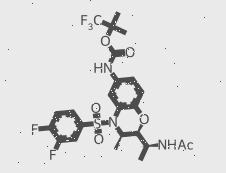 CC(=O)N[C@@H](C)[C@@H]1Oc2ccc(NC(=O)OC(C)(C)C(F)(F)F)cc2N(S(=O)(=O)c2ccc(F)c(F)c2)[C@@H]1C